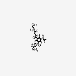 CC(=O)Nc1c(I)c(C(=O)NCC(N)=O)c(I)c(C(=O)NCC(=O)NCCO)c1I